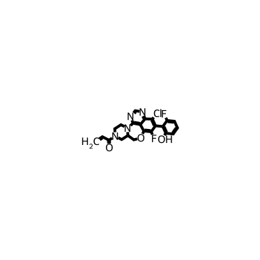 C=CC(=O)N1CCN2c3ncnc4c(Cl)c(-c5c(O)cccc5F)c(F)c(c34)OCC2C1